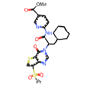 COC(=O)c1ccc(NC(=O)C(CC2CCCCC2)n2cnc3c(S(=O)(=O)C(C)C)csc3c2=O)nc1